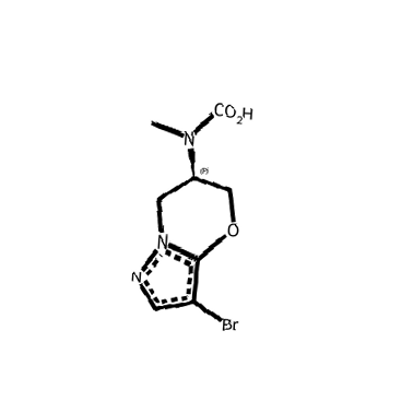 CN(C(=O)O)[C@H]1COc2c(Br)cnn2C1